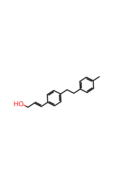 Cc1ccc(CCc2ccc(/C=C/CO)cc2)cc1